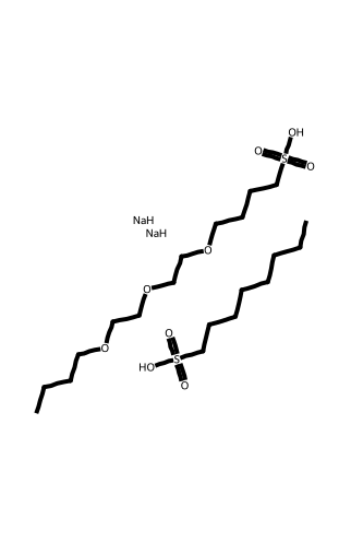 CCCCCCCCS(=O)(=O)O.CCCCOCCOCCOCCCCS(=O)(=O)O.[NaH].[NaH]